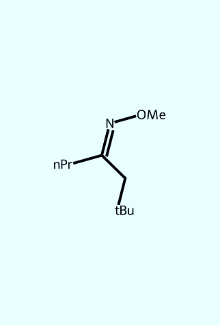 CCC/C(CC(C)(C)C)=N/OC